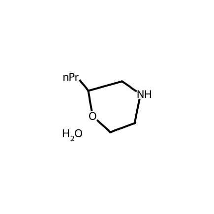 CCCC1CNCCO1.O